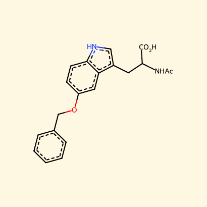 CC(=O)NC(Cc1c[nH]c2ccc(OCc3ccccc3)cc12)C(=O)O